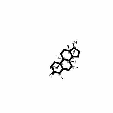 C[C@@H]1C(=O)CC[C@@]2(CO)C1=C[C@@H](C)[C@@H]1[C@@H]2CC[C@]2(C)[C@@H](O)CC[C@@H]12